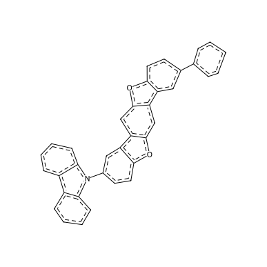 c1ccc(-c2ccc3oc4cc5c(cc4c3c2)oc2ccc(-n3c4ccccc4c4ccccc43)cc25)cc1